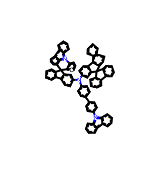 c1ccc2c(c1)-c1ccccc1C21c2cc(N(c3ccc(-c4ccc(-n5c6ccccc6c6ccccc65)cc4)cc3)c3ccc4c(c3)C3(c5ccccc5-4)c4ccccc4-n4c5ccccc5c5cccc3c54)ccc2-c2c1ccc1ccccc21